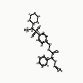 C=CCN(C(=O)CSc1ccc(S(=O)(=O)N(C)C2CCCCC2)cn1)c1ccccc1